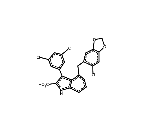 O=C(O)c1[nH]c2cccc(Cc3cc4c(cc3Cl)OCO4)c2c1-c1cc(Cl)cc(Cl)c1